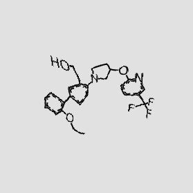 CCOc1ccccc1-c1ccc(N2CCC(Oc3ccc(C(F)(F)F)cn3)C2)c(CO)c1